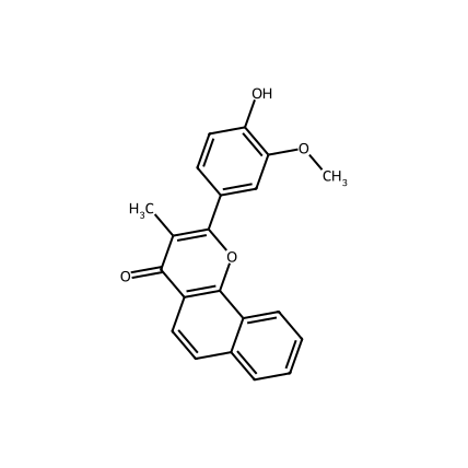 COc1cc(-c2oc3c(ccc4ccccc43)c(=O)c2C)ccc1O